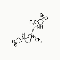 CS(=O)(=O)c1ccc(NCC#Cc2cc3c(NC4CCS(=O)(=O)CC4)cccc3n2CC(F)(F)F)c(C(F)(F)F)c1